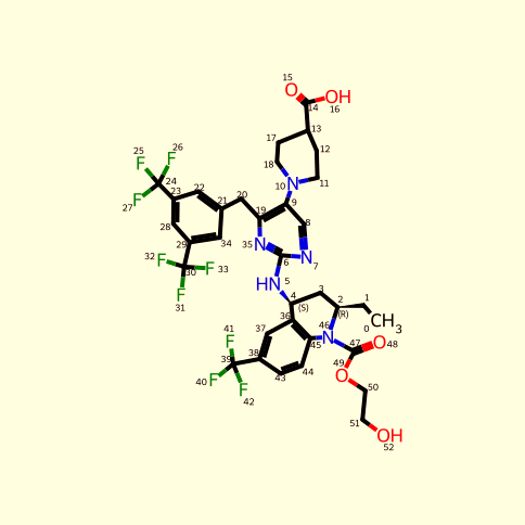 CC[C@@H]1C[C@H](Nc2ncc(N3CCC(C(=O)O)CC3)c(Cc3cc(C(F)(F)F)cc(C(F)(F)F)c3)n2)c2cc(C(F)(F)F)ccc2N1C(=O)OCCO